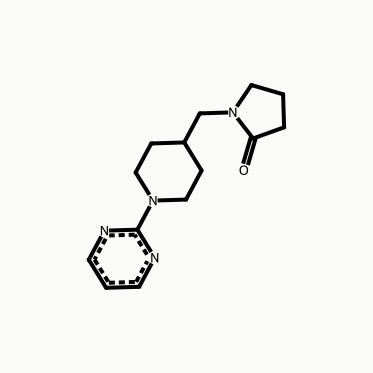 O=C1CCCN1CC1CCN(c2ncccn2)CC1